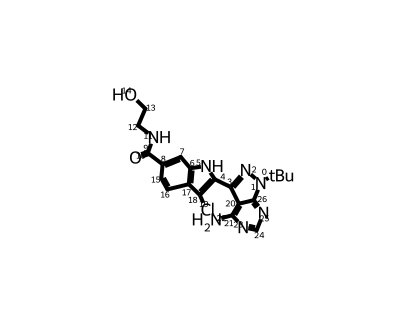 CC(C)(C)n1nc(-c2[nH]c3cc(C(=O)NCCO)ccc3c2Cl)c2c(N)ncnc21